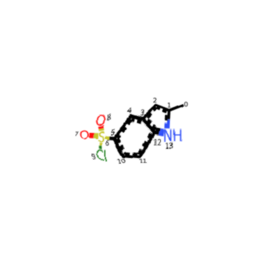 Cc1cc2cc(S(=O)(=O)Cl)ccc2[nH]1